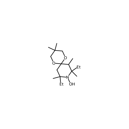 CCC1(C)CC2(OCC(C)(C)CO2)C(C)C(C)(CC)N1O